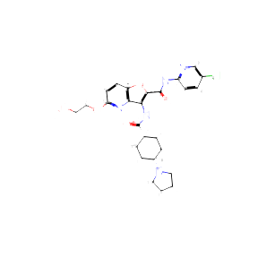 COCCOc1ccc2oc(C(=O)Nc3ccc(Cl)cn3)c(NC(=O)[C@H]3CC[C@H](N4CCCC4)CC3)c2n1